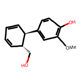 COc1cc([C@@H]2C=CC=C[C@H]2CO)ccc1O